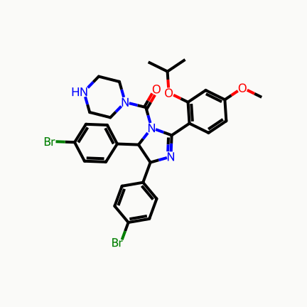 COc1ccc(C2=NC(c3ccc(Br)cc3)C(c3ccc(Br)cc3)N2C(=O)N2CCNCC2)c(OC(C)C)c1